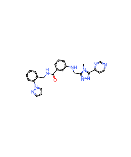 Cn1c(CNc2cccc(C(=O)NCc3ccccc3-n3cccn3)c2)nnc1-c1ccncn1